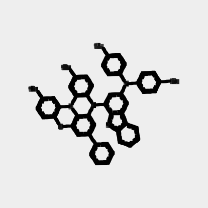 CC(C)(C)c1ccc(N(c2ccc(C(C)(C)C)cc2)c2cc(N3c4ccc(C(C)(C)C)cc4B4c5cc(C(C)(C)C)ccc5Oc5cc(-c6ccccc6)cc3c54)c3sc4ccccc4c3c2)cc1